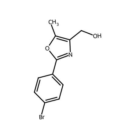 Cc1oc(-c2ccc(Br)cc2)nc1CO